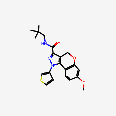 COc1ccc2c(c1)OCc1c(C(=O)NCC(C)(C)C)nn(-c3ccsc3)c1-2